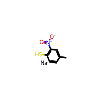 Cc1ccc(S)c([N+](=O)[O-])c1.[Na]